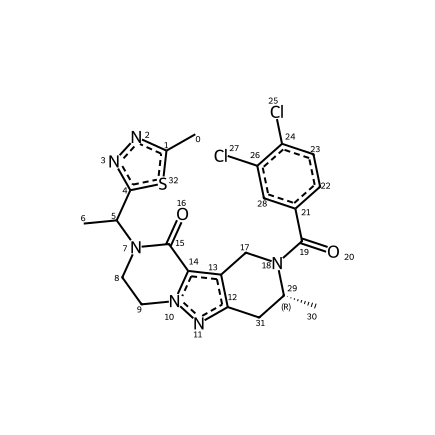 Cc1nnc(C(C)N2CCn3nc4c(c3C2=O)CN(C(=O)c2ccc(Cl)c(Cl)c2)[C@H](C)C4)s1